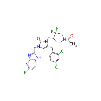 CC(=O)N1CCC(Cn2c(Cc3ccc(Cl)cc3Cl)cn(Cc3nc4nc(F)ccc4[nH]3)c2=O)C(F)(F)C1